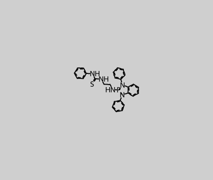 S=C(NCCNP1N(c2ccccc2)c2ccccc2N1c1ccccc1)Nc1ccccc1